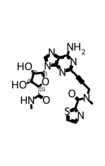 CNC(=O)[C@H]1O[C@@H](n2cnc3c(N)nc(C#CCN(C)C(=O)c4nccs4)nc32)[C@H](O)[C@@H]1O